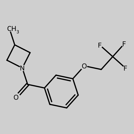 CC1CN(C(=O)c2cccc(OCC(F)(F)F)c2)C1